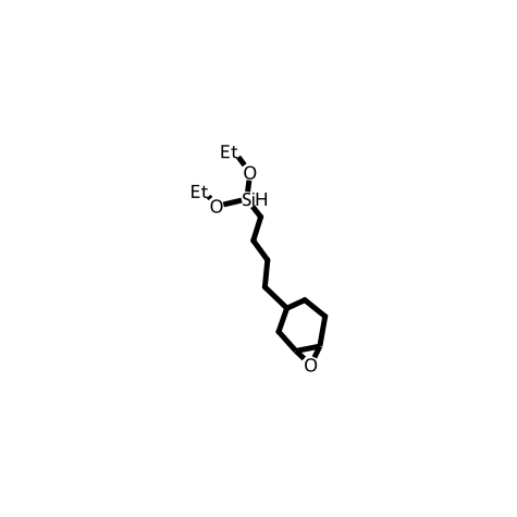 CCO[SiH](CCCCC1CCC2OC2C1)OCC